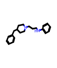 c1ccc(CC2CCN(CCCNc3ccccc3)CC2)cc1